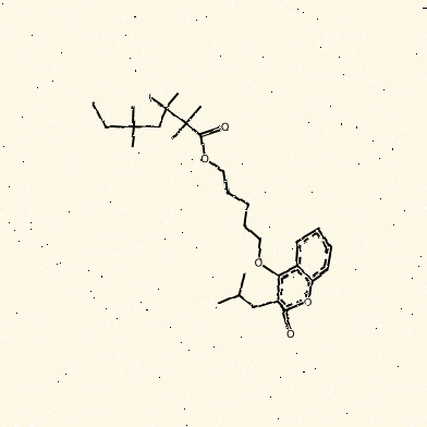 CCC(C)(C)CC(C)(I)C(C)(C)C(=O)OCCCCCOc1c(CC(C)C)c(=O)oc2ccccc12